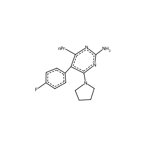 CCCc1nc(N)nc(N2CCCC2)c1-c1ccc(F)cc1